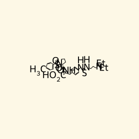 CCN(CC)CCCNC(=S)Nc1ccc(C[C@H](NC(=O)[C@@H]2CCCN2S(=O)(=O)c2ccc(C)cc2)C(=O)O)cc1